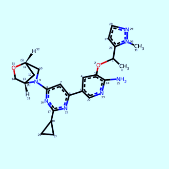 CC(Oc1cc(-c2cc(N3C[C@@H]4C[C@H]3CO4)nc(C3CC3)n2)cnc1N)c1ccnn1C